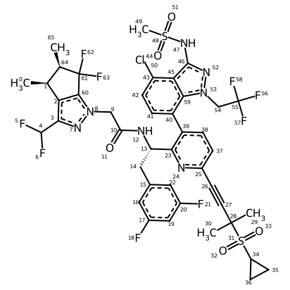 C[C@@H]1c2c(C(F)F)nn(CC(=O)N[C@@H](Cc3cc(F)cc(F)c3)c3nc(C#CC(C)(C)S(=O)(=O)C4CC4)ccc3-c3ccc(Cl)c4c(NS(C)(=O)=O)nn(CC(F)(F)F)c34)c2C(F)(F)[C@@H]1C